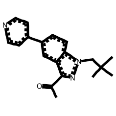 CC(=O)c1nn(CC(C)(C)C)c2ccc(-c3ccncc3)cc12